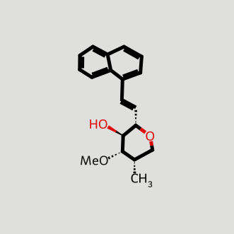 CO[C@@H]1[C@@H](O)[C@H](C=Cc2cccc3ccccc23)OC[C@@H]1C